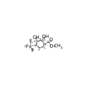 COC(=O)c1ccc(C(F)(F)F)c(C)c1O